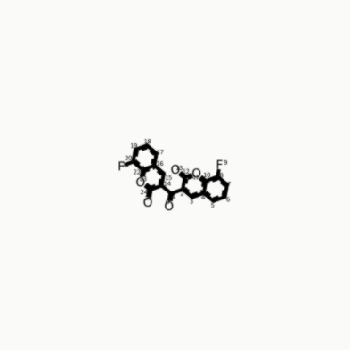 O=C(c1cc2cccc(F)c2oc1=O)c1cc2cccc(F)c2oc1=O